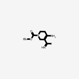 CC(C)(C)OC(=O)N1CCC(N)=C(C(=N)I)C1